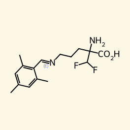 Cc1cc(C)c(/C=N/CCCC(N)(C(=O)O)C(F)F)c(C)c1